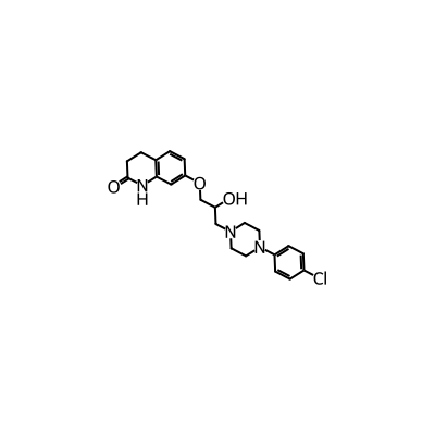 O=C1CCc2ccc(OCC(O)CN3CCN(c4ccc(Cl)cc4)CC3)cc2N1